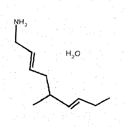 CCC=CC(C)CC=CCN.O